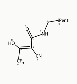 CCCC(C)CNC(=O)/C(C#N)=C(\O)C(F)(F)F